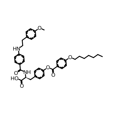 CCCCCCCOc1ccc(C(=O)Oc2ccc(C[C@H](NC(=O)c3ccc(NCCc4ccc(OC)cc4)cc3)C(=O)O)cc2)cc1